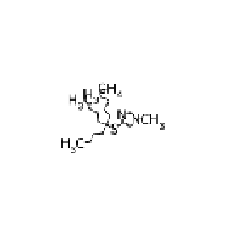 C.CCCCC(CCCC)(CCCC)Sc1cn(C)cn1